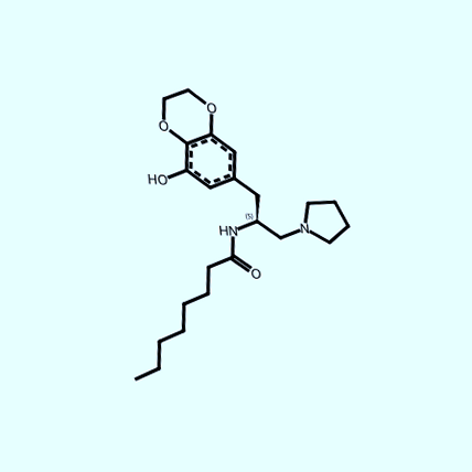 CCCCCCCC(=O)N[C@@H](Cc1cc(O)c2c(c1)OCCO2)CN1CCCC1